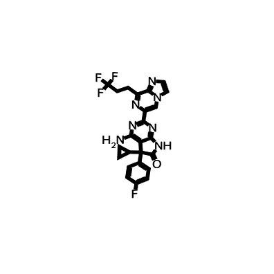 Nc1nc(-c2cn3ccnc3c(CCC(F)(F)F)n2)nc2c1C(c1ccc(F)cc1)(C1CC1)C(=O)N2